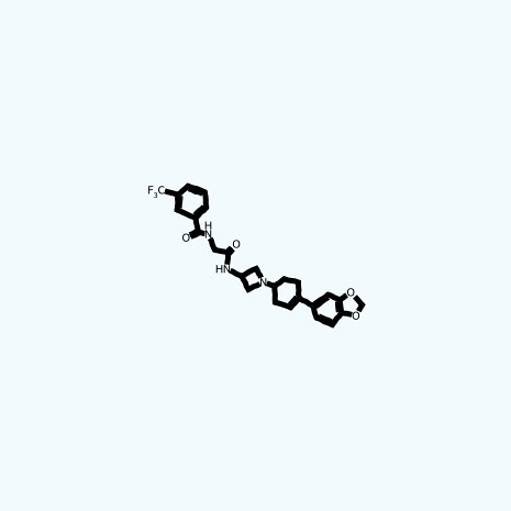 O=C(CNC(=O)c1cccc(C(F)(F)F)c1)NC1CN(C2CC=C(c3ccc4c(c3)OCO4)CC2)C1